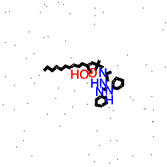 CCCCCCCCCCC(CC(C)(C)C=NC(C)CNC(=NC1CCCCC1)NC1CCCCC1)C(=O)O